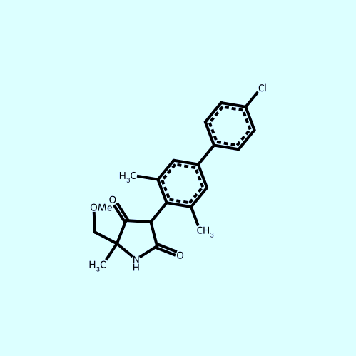 COCC1(C)NC(=O)C(c2c(C)cc(-c3ccc(Cl)cc3)cc2C)C1=O